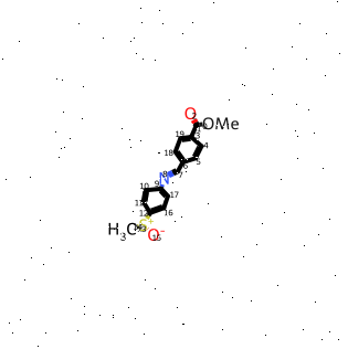 COC(=O)c1ccc(C=Nc2ccc([S+](C)[O-])cc2)cc1